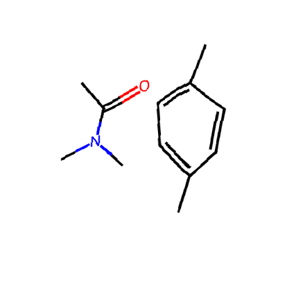 CC(=O)N(C)C.Cc1ccc(C)cc1